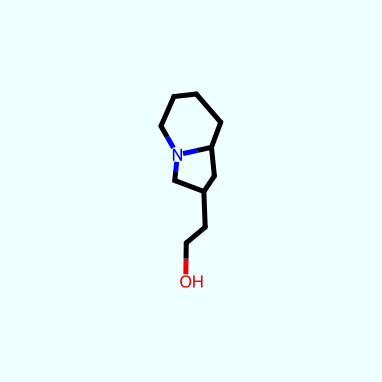 OCCC1CC2CCCCN2C1